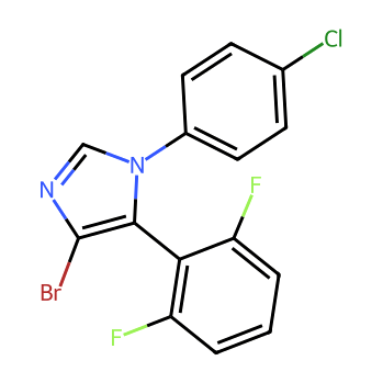 Fc1cccc(F)c1-c1c(Br)ncn1-c1ccc(Cl)cc1